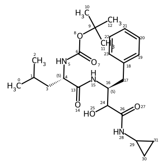 CC(C)C[C@H](NC(=O)OC(C)(C)C)C(=O)N[C@@H](Cc1ccccc1)C(O)C(=O)NC1CC1